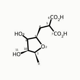 C[C@@H]1O[C@H](CC(C(=O)O)C(=O)O)C(O)[C@@H]1O